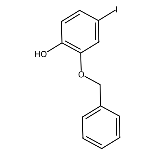 Oc1ccc(I)cc1OCc1ccccc1